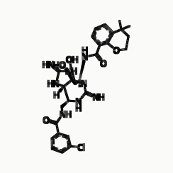 CC1(C)CCOc2c(C(=O)N[C@H]3CN4C(=N)N[C@@H](CNC(=O)c5cccc(Cl)c5)[C@@H]5NC(=N)N[C@@]54C3(O)O)cccc21